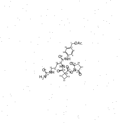 CC(=O)OCc1ccc(NC(=O)[C@H](CCCNC(N)=O)NC(=O)C2(C(=O)ON3C(=O)CCC3=O)CCC2)cc1